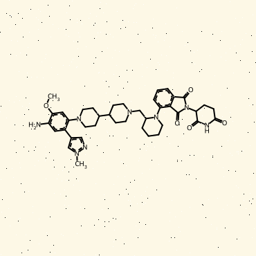 COc1cc(N2CCC(C3CCN(CC4CCCCN4c4cccc5c4C(=O)N(C4CCC(=O)NC4=O)C5=O)CC3)CC2)c(-c2cnn(C)c2)cc1N